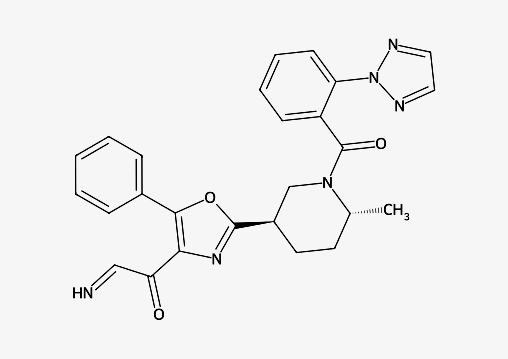 C[C@@H]1CC[C@@H](c2nc(C(=O)C=N)c(-c3ccccc3)o2)CN1C(=O)c1ccccc1-n1nccn1